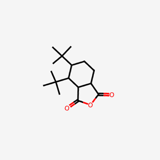 CC(C)(C)C1CCC2C(=O)OC(=O)C2C1C(C)(C)C